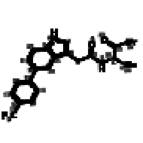 CC[C@H](C)[C@H](NC(=O)Cc1c[nH]c2ccc(-c3ccc(C(F)(F)F)cc3)cc12)C(=O)C(C)C